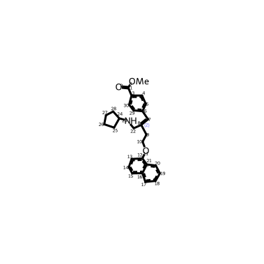 COC(=O)c1ccc(/C=C(/CCOc2cccc3ccccc23)CNC2CCCC2)cc1